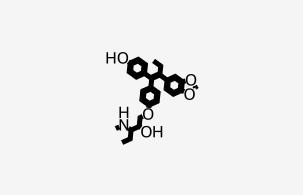 CCC(=C(c1ccc(O)cc1)c1ccc(OCC(O)C(CC)NC)cc1)c1ccc2c(c1)OCO2